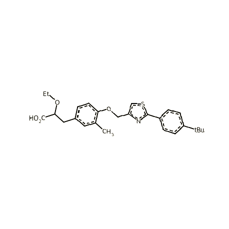 CCOC(Cc1ccc(OCc2csc(-c3ccc(C(C)(C)C)cc3)n2)c(C)c1)C(=O)O